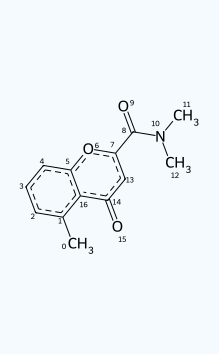 Cc1cccc2oc(C(=O)N(C)C)cc(=O)c12